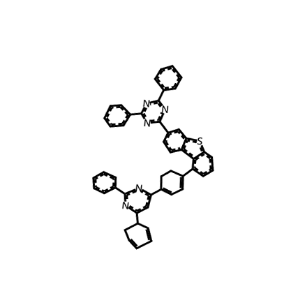 C1=CCC(c2cc(C3=CC=C(c4cccc5sc6cc(-c7nc(-c8ccccc8)nc(-c8ccccc8)n7)ccc6c45)CC3)nc(-c3ccccc3)n2)C=C1